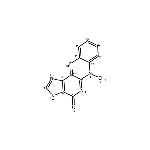 CN(c1nc(=O)c2[nH]cnc2[nH]1)c1ccccc1F